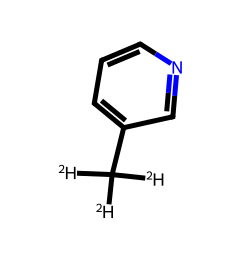 [2H]C([2H])([2H])c1cccnc1